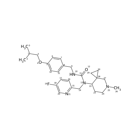 CC(C)COc1ccc(CNC(=O)N(Cc2ccc(F)cn2)C2CCN(C)CC23CC3)cc1